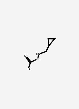 CCC(=O)NNCC1CC1